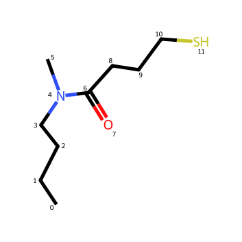 CCCCN(C)C(=O)CCCS